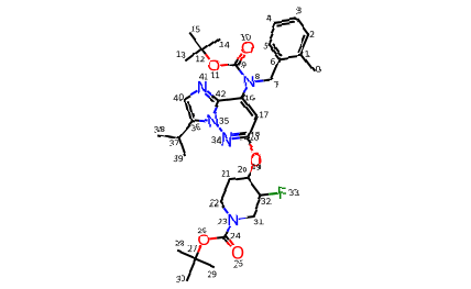 Cc1ccccc1CN(C(=O)OC(C)(C)C)c1cc(OC2CCN(C(=O)OC(C)(C)C)CC2F)nn2c(C(C)C)cnc12